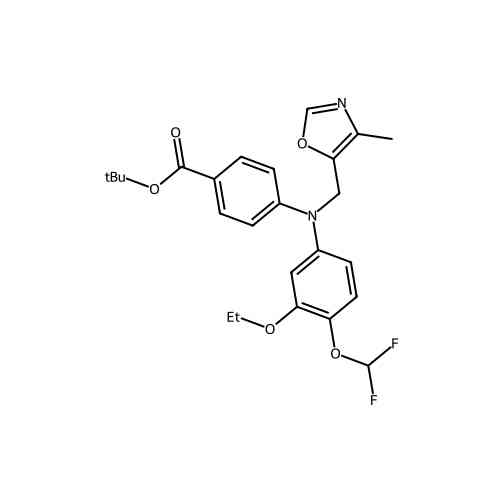 CCOc1cc(N(Cc2ocnc2C)c2ccc(C(=O)OC(C)(C)C)cc2)ccc1OC(F)F